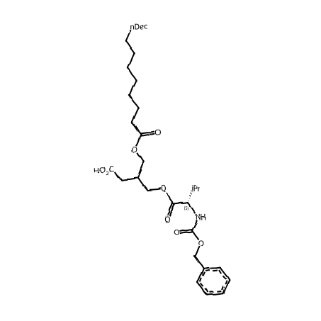 CCCCCCCCCCCCCCCCCC(=O)OCC(COC(=O)[C@@H](NC(=O)OCc1ccccc1)C(C)C)CC(=O)O